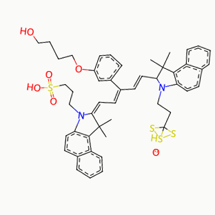 CC1(C)\C(=C/C=C(/C=C/C2N(CCC34S[SH]3(=O)S4)c3ccc4ccccc4c3C2(C)C)c2cccc(OCCCCO)c2)N(CCCS(=O)(=O)O)c2ccc3ccccc3c21